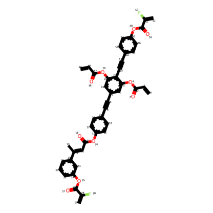 C=CC(=O)Oc1cc(C#Cc2ccc(OC(=O)/C=C(\C)c3cccc(OC(=O)C(=C)F)c3)cc2)cc(OC(=O)C=C)c1C#Cc1ccc(OC(=O)C(=C)F)cc1